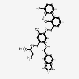 O=C(O)C(CO)NCc1cc(Cl)c(OCc2cccc(-c3cccc(F)c3F)c2Cl)cc1OCc1ccc2nonc2c1